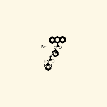 O=C(C[N+]12CCC(CC1)C(OC(=O)C1c3ccccc3Cc3ccccc31)C2)Nc1ncccn1.[Br-]